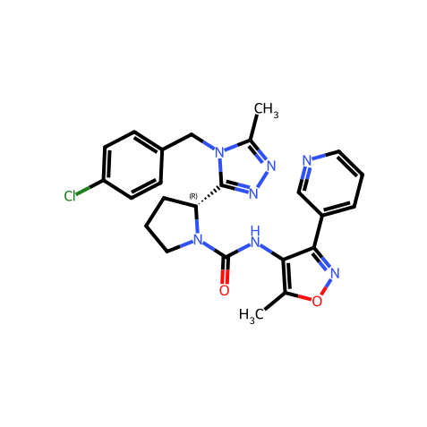 Cc1onc(-c2cccnc2)c1NC(=O)N1CCC[C@@H]1c1nnc(C)n1Cc1ccc(Cl)cc1